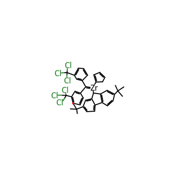 CC(C)(C)c1ccc2c(c1)[CH]([Zr]([C]1=CC=CC1)=[C](c1cccc(C(Cl)(Cl)Cl)c1)c1cccc(C(Cl)(Cl)Cl)c1)c1cc(C(C)(C)C)ccc1-2